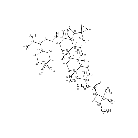 CC(O)C(CCN[C@]12CC[C@@H](C3(C)CC3)[C@@H]1[C@H]1CC[C@@H]3[C@@]4(C)CC[C@H](OC(=O)[C@@H]5C[C@H](C(=O)O)C5(C)C)C(C)(C)[C@@H]4CC[C@@]3(C)[C@]1(C)CC2)N1CCS(=O)(=O)CC1